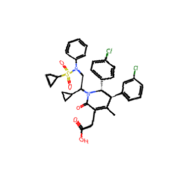 CC1=C(CC(=O)O)C(=O)N(C(CN(c2ccccc2)S(=O)(=O)C2CC2)C2CC2)[C@H](c2ccc(Cl)cc2)[C@H]1c1cccc(Cl)c1